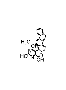 O.O=C(O)c1nc(O)nc(O)c1C1CCC=c2c1ccc1c2=CCc2ccccc2-1